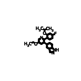 CCOc1cnc(-c2ccc(F)cc2OC(C)C)c(-c2ccc3[nH]ncc3c2)c1